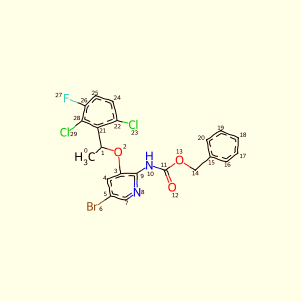 CC(Oc1cc(Br)cnc1NC(=O)OCc1ccccc1)c1c(Cl)ccc(F)c1Cl